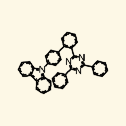 c1ccc(-c2nc(-c3ccccc3)nc(-c3ccccc3-c3ccc(-n4c5ccccc5c5ccccc54)cc3)n2)cc1